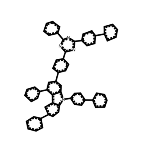 c1ccc(-c2ccc(-c3nc(-c4ccccc4)nc(-c4ccc(-c5cc(-c6ccccc6)c6c7cc(-c8ccccc8)ccc7n(-c7ccc(-c8ccccc8)cc7)c6c5)cc4)n3)cc2)cc1